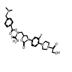 CN(C)Cc1ccc(C(=O)ON(CC2CN(c3ccc(N4CCN(C(=O)CO)CC4)c(F)c3)C(=O)O2)C(N)=S)cc1